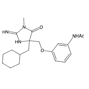 CC(=O)Nc1cccc(OCC2(CC3CCCCC3)NC(=N)N(C)C2=O)c1